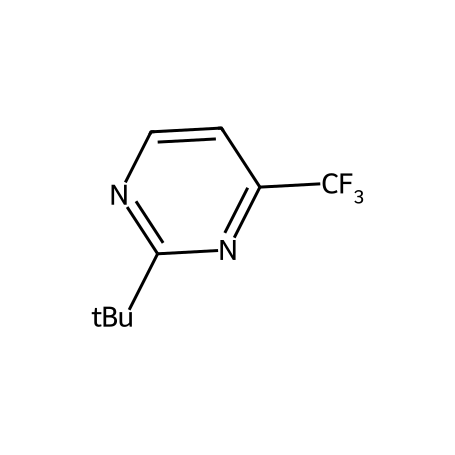 CC(C)(C)c1nccc(C(F)(F)F)n1